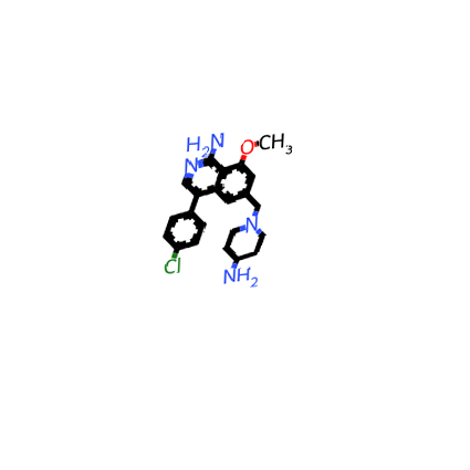 COc1cc(CN2CCC(N)CC2)cc2c(-c3ccc(Cl)cc3)cnc(N)c12